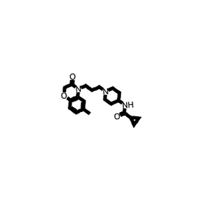 Cc1ccc2c(c1)N(CCCN1CCC(NC(=O)C3CC3)CC1)C(=O)CO2